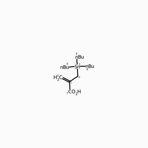 C=C([CH2][Sn]([CH2]CCC)([CH2]CCC)[CH2]CCC)C(=O)O